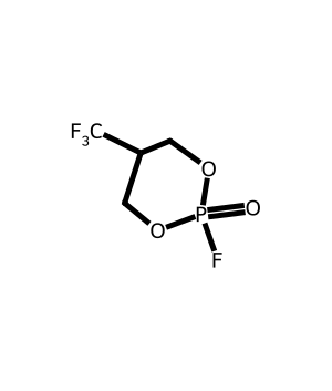 O=P1(F)OCC(C(F)(F)F)CO1